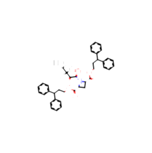 CCC(C)(C)C(=O)C(=O)N1[C@@H](C(=O)OCCC(c2ccccc2)c2ccccc2)C[C@H]1C(=O)OCCC(c1ccccc1)c1ccccc1